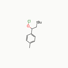 Cc1ccc(C(CC(C)(C)C)OCl)cc1